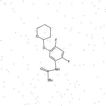 CC(C)(C)C(=O)Nc1cc(OC2CCCCO2)c(F)cc1F